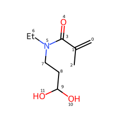 C=C(C)C(=O)N(CC)CCC(O)O